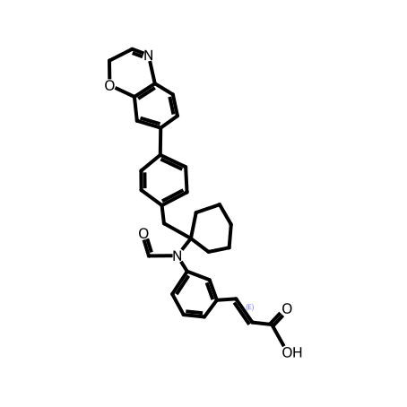 O=CN(c1cccc(/C=C/C(=O)O)c1)C1(Cc2ccc(-c3ccc4c(c3)OCC=N4)cc2)CCCCC1